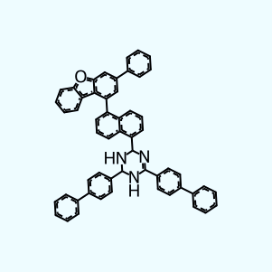 c1ccc(-c2ccc(C3=NC(c4cccc5c(-c6cc(-c7ccccc7)cc7oc8ccccc8c67)cccc45)NC(c4ccc(-c5ccccc5)cc4)N3)cc2)cc1